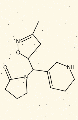 CC1=NOC(C(C2=CCCNC2)N2CCCC2=O)C1